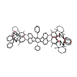 Cc1cc(-c2ccc3c4c(-c5ccccc5)c5c6ccc(-c7cc(C)c8c(c7C)C7(C)CCCCC7(C)N8c7ccccc7)c7c(-c8cc(C)c9c(c8C)C8(C)CCCCC8(C)N9c8ccccc8)ccc(c5c(-c5ccccc5)c4c4ccc(-c5cc(C)c8c(c5C)C5(C)CCCCC5(C)N8c5ccccc5)c2c34)c76)c(C)c2c1N(c1ccccc1)C1(C)CCCCC21C